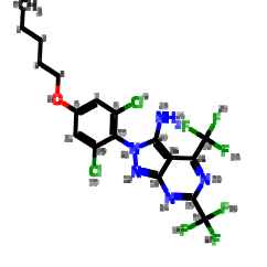 CCCCCOc1cc(Cl)c(-n2nc3nc(C(F)(F)F)nc(C(F)(F)F)c3c2N)c(Cl)c1